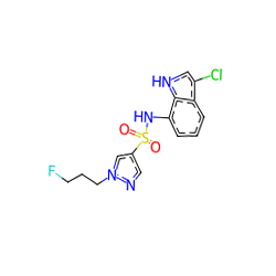 O=S(=O)(Nc1cccc2c(Cl)c[nH]c12)c1cnn(CCCF)c1